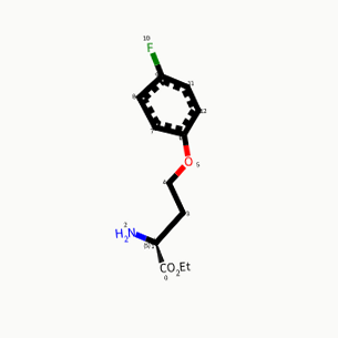 CCOC(=O)[C@@H](N)CCOc1ccc(F)cc1